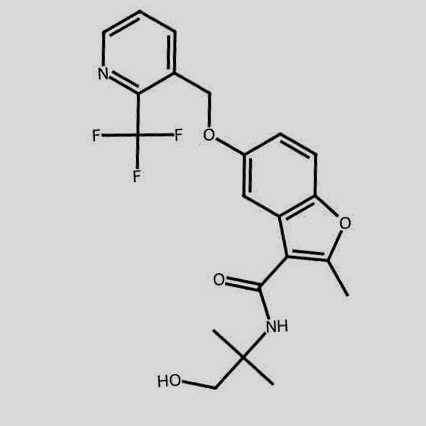 Cc1oc2ccc(OCc3cccnc3C(F)(F)F)cc2c1C(=O)NC(C)(C)CO